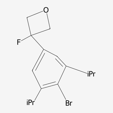 CC(C)c1cc(C2(F)COC2)cc(C(C)C)c1Br